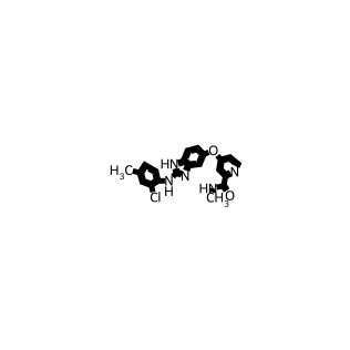 CNC(=O)c1cc(Oc2ccc3[nH]c(Nc4ccc(C)cc4Cl)nc3c2)ccn1